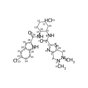 CN1Cc2nc(C(=O)NC3CCCC[C@@H]3NC(=O)c3cc4cc(Cl)ccc4[nH]3)sc2CN1C.Cl